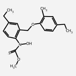 CCc1ccc(OCc2cc(CC)ccc2N(O)C(=S)OC)c(C)c1